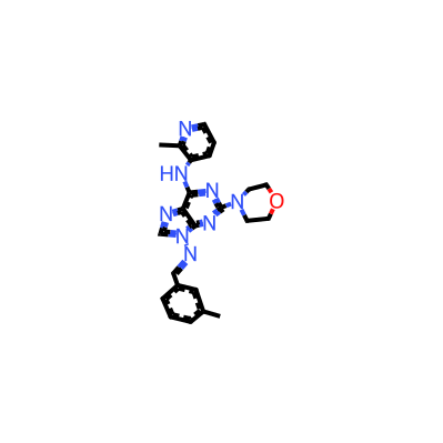 Cc1cccc(/C=N/n2cnc3c(Nc4cccnc4C)nc(N4CCOCC4)nc32)c1